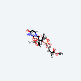 C#C[C@@]1(OC(=O)CCC)[C@@H]2O[P@@](=O)(OCC[C@H](C)C(=O)OC(C)C)OC[C@H]2O[C@H]1n1ccc(=O)[nH]c1=O